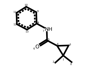 CC1(C)CC1C(=O)Nc1cc[c]cc1